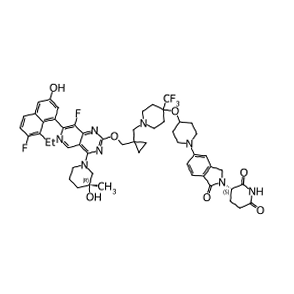 CCc1c(F)ccc2cc(O)cc(-c3ncc4c(N5CCC[C@@](C)(O)C5)nc(OCC5(CN6CCC(OC7CCN(c8ccc9c(c8)CN([C@H]8CCC(=O)NC8=O)C9=O)CC7)(C(F)(F)F)CC6)CC5)nc4c3F)c12